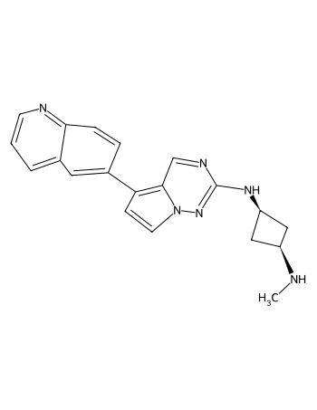 CN[C@H]1C[C@@H](Nc2ncc3c(-c4ccc5ncccc5c4)ccn3n2)C1